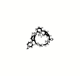 CN1CCN(c2ccc3cc2COCCCCNC(=O)c2ccc(c(N)c2)-c2ccnc(n2)N3)CC1